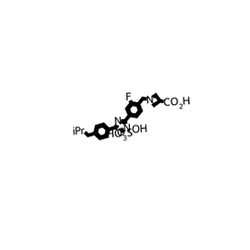 CC(C)Cc1ccc(-c2nc(-c3ccc(CN4CC(C(=O)O)C4)c(F)c3)no2)cc1.O=S(=O)(O)O